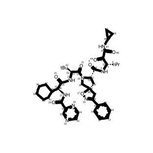 CCC[C@H](NC(=O)[C@@H]1C[C@@]2(CC(c3ccccc3)=NO2)CN1C(=O)[C@@H](NC(=O)[C@@H](NC(=O)c1cnccn1)C1CCCCC1)C(C)(C)C)C(=O)C(=O)NC1CC1